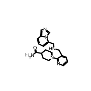 NC(=O)C1CCN(c2ncccc2CNCc2cccc3cncn23)CC1